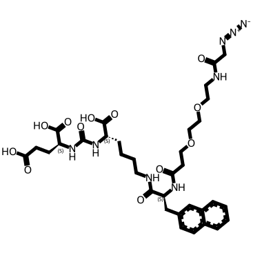 [N-]=[N+]=NCC(=O)NCCOCCOCCC(=O)N[C@@H](Cc1ccc2ccccc2c1)C(=O)NCCCC[C@H](NC(=O)N[C@@H](CCC(=O)O)C(=O)O)C(=O)O